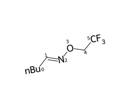 CCCCC=NOCC(F)(F)F